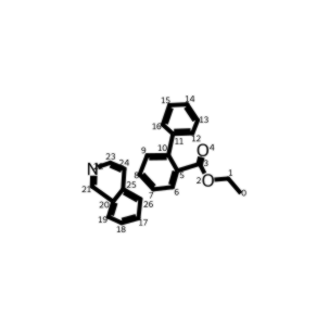 CCOC(=O)c1ccccc1-c1ccccc1.c1ccc2cnccc2c1